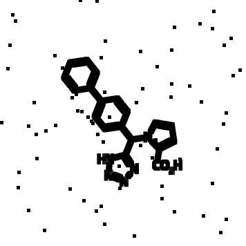 O=C(O)c1cccn1C(c1ccc(-c2ccccc2)cc1)c1nnn[nH]1